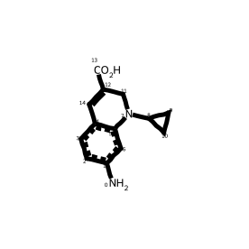 Nc1ccc2c(c1)N(C1CC1)CC(C(=O)O)=C2